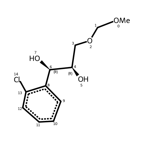 COCOC[C@@H](O)[C@H](O)c1ccccc1Cl